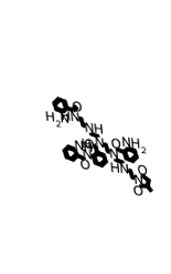 CC1CC(=O)N(CCNCCN(CCN(CCNCCNC(=O)c2ccccc2N)C(=O)c2ccccc2NC(=O)c2ccccc2N)C(=O)c2ccccc2N)C1=O